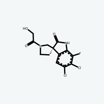 O=C(CO)N1CC[C@]2(C1)C(=O)Nc1c2cc(Cl)c(Cl)c1F